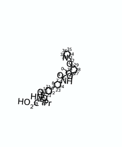 Cc1c(C(=O)Nc2ccc(-c3ccc(S(=O)(=O)NC(C(=O)O)C(C)C)cc3)cc2)oc2cccc(OCc3ccccn3)c12